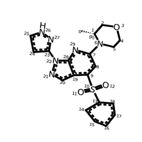 C[C@@H]1COCCN1c1cc(S(=O)(=O)c2ccccc2)c2cnn(-c3cc[nH]n3)c2n1